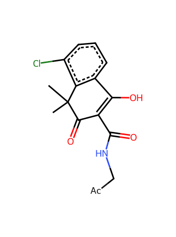 CC(=O)CNC(=O)C1=C(O)c2cccc(Cl)c2C(C)(C)C1=O